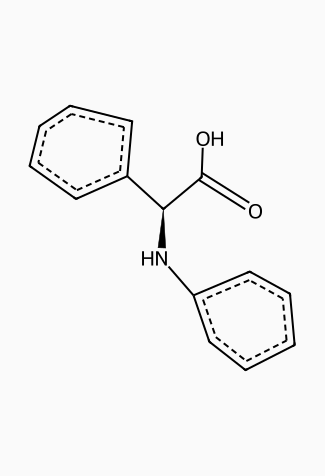 O=C(O)[C@@H](Nc1ccccc1)c1ccccc1